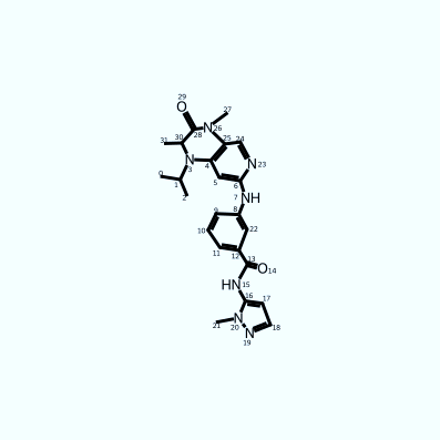 CC(C)N1c2cc(Nc3cccc(C(=O)Nc4ccnn4C)c3)ncc2N(C)C(=O)C1C